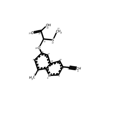 C#Cc1cnc2c(C)cc(OC(SC)C(=O)O)cc2c1